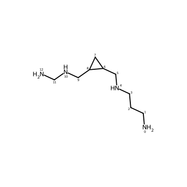 NCCCNCC1CC1CNCN